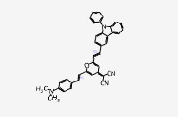 CN(C)c1ccc(/C=C/C2=CC(=C(C#N)C#N)C=C(/C=C/c3ccc4c(c3)c3ccccc3n4-c3ccccc3)O2)cc1